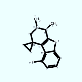 C[C@H]1c2sc3cccc(F)c3c2C2(CC2)CN1C